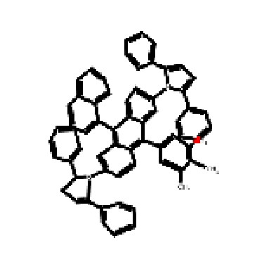 Cc1cc(-c2c3cc(-n4c(-c5ccccc5)ccc4-c4ccccc4)ccc3c(-c3cccc4ccccc34)c3cc(N4C(c5ccccc5)=CCC4c4ccccc4)ccc23)cc(C)c1C